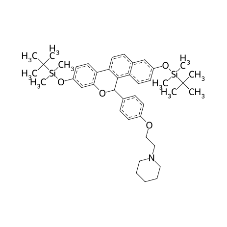 CC(C)(C)[Si](C)(C)Oc1ccc2c(c1)OC(c1ccc(OCCN3CCCCC3)cc1)c1c-2ccc2cc(O[Si](C)(C)C(C)(C)C)ccc12